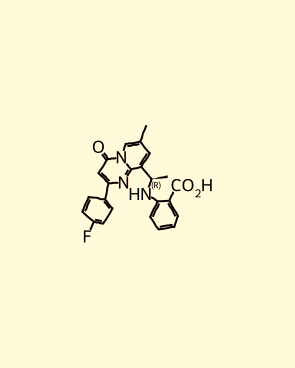 Cc1cc([C@@H](C)Nc2ccccc2C(=O)O)c2nc(-c3ccc(F)cc3)cc(=O)n2c1